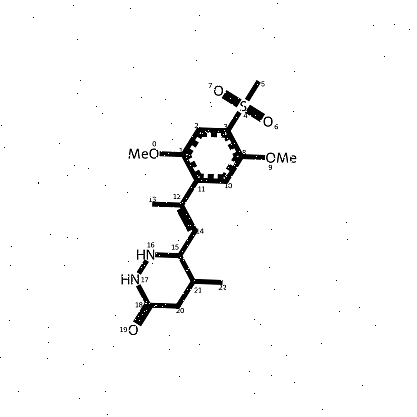 COc1cc(S(C)(=O)=O)c(OC)cc1/C(C)=C/C1NNC(=O)CC1C